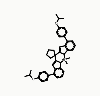 CC(C)Oc1ccc(-c2cccc3c2C=C2[CH]3[Hf]([CH3])([CH3])[CH]3C(=Cc4c(-c5ccc(OC(C)C)cc5)cccc43)C23CCCC3)cc1